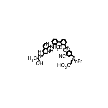 CCCN(CCC(=O)O)Cc1cc(C#N)c2oc(-c3cccc(-c4cccc(Nc5nccc6cc(CN[C@H](C)CO)cnc56)c4C)c3C)nc2c1